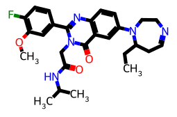 CCC1CC=NCCN1c1ccc2nc(-c3ccc(F)c(OC)c3)n(CC(=O)NC(C)C)c(=O)c2c1